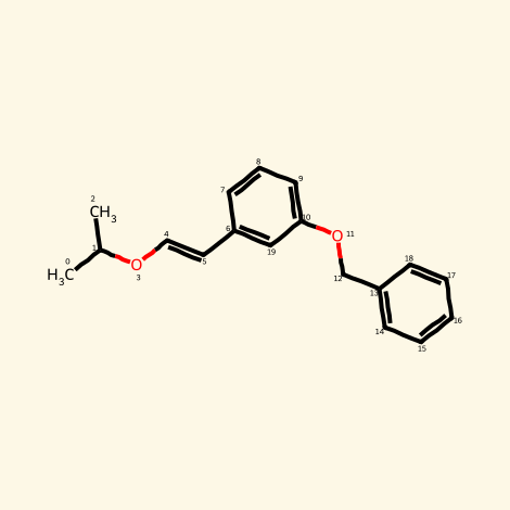 CC(C)OC=Cc1cccc(OCc2ccccc2)c1